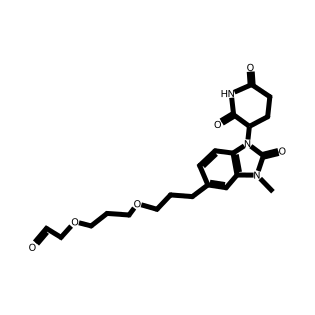 Cn1c(=O)n(C2CCC(=O)NC2=O)c2ccc(CCCOCCCOCC=O)cc21